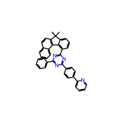 CC1(C)c2cccc(-c3nc(-c4ccccc4)nc(-c4ccc(-c5ccccn5)cc4)n3)c2-c2c1ccc1ccccc21